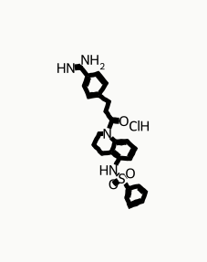 Cl.N=C(N)c1ccc(CCC(=O)N2CCCc3c(NS(=O)(=O)c4ccccc4)cccc32)cc1